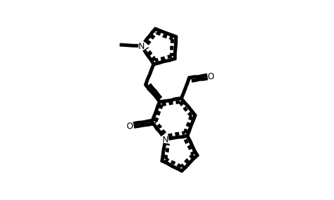 Cn1cccc1/C=c1\c(C=O)cc2cccn2c1=O